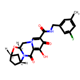 Cc1cc(F)cc(CNC(=O)c2cn3c(c(O)c2=O)C(=O)N2[C@@H]4CC[C@@H](C4)O[C@H]2C3)c1